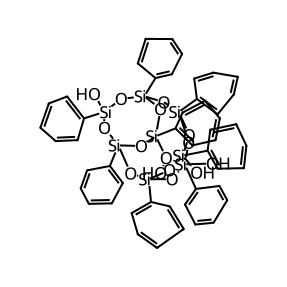 OO[Si]1(c2ccccc2)O[Si]2(c3ccccc3)O[Si](O)(c3ccccc3)O[Si](c3ccccc3)(O[Si]3(c4ccccc4)O[Si](O)(c4ccccc4)O[Si](c4ccccc4)(O[Si](O)(c4ccccc4)O3)O2)O1